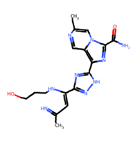 CC(=N)/C=C(\NCCCO)c1n[nH]c(-c2nc(C(N)=O)n3cc(C)ncc23)n1